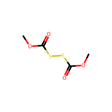 COC(=O)SSC(=O)OC